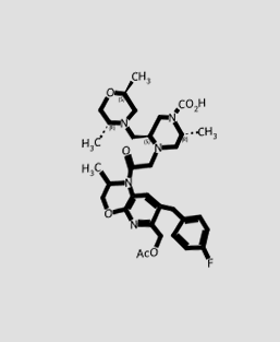 CC(=O)OCc1nc2c(cc1Cc1ccc(F)cc1)N(C(=O)CN1C[C@@H](C)N(C(=O)O)C[C@@H]1CN1C[C@H](C)OC[C@H]1C)C(C)CO2